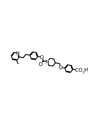 Cc1cccnc1CCc1ccc(OC(=O)N2CCC(COc3ccc(C(=O)O)cc3)CC2)cc1